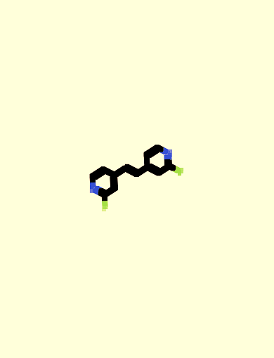 Fc1cc(C=Cc2ccnc(F)c2)ccn1